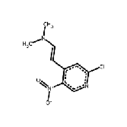 CN(C)C=Cc1cc(Cl)ncc1[N+](=O)[O-]